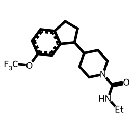 CCNC(=O)N1CCC(C2CCc3ccc(OC(F)(F)F)cc32)CC1